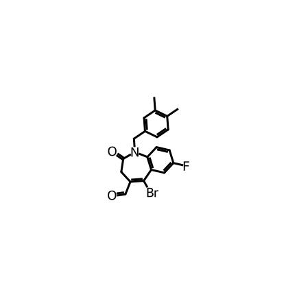 Cc1ccc(CN2C(=O)CC(C=O)=C(Br)c3cc(F)ccc32)cc1C